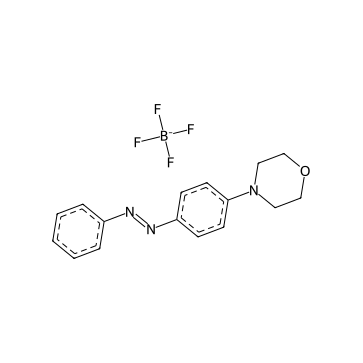 F[B-](F)(F)F.c1ccc(N=Nc2ccc(N3CCOCC3)cc2)cc1